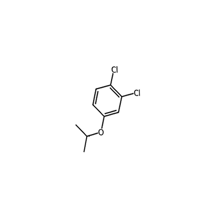 C[C](C)Oc1ccc(Cl)c(Cl)c1